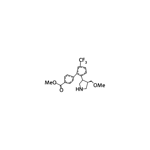 COC[C@H]1CNCC1c1ccc(C(F)(F)F)cc1-c1ccc(C(=O)OC)cc1